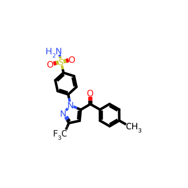 Cc1ccc(C(=O)c2cc(C(F)(F)F)nn2-c2ccc(S(N)(=O)=O)cc2)cc1